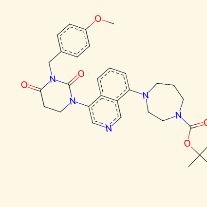 COc1ccc(CN2C(=O)CCN(c3cncc4c(N5CCCN(C(=O)OC(C)(C)C)CC5)cccc34)C2=O)cc1